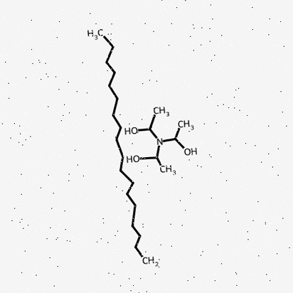 CC(O)N(C(C)O)C(C)O.[CH2]CCCCCCCCCCCCCCCCC